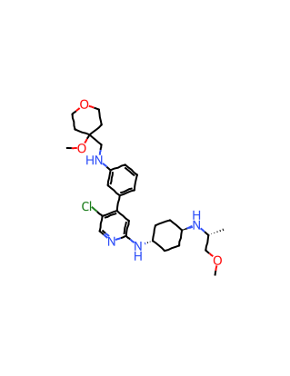 COC[C@@H](C)N[C@H]1CC[C@H](Nc2cc(-c3cccc(NCC4(OC)CCOCC4)c3)c(Cl)cn2)CC1